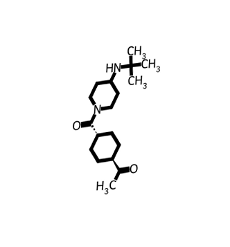 CC(=O)[C@H]1CC[C@H](C(=O)N2CCC(NC(C)(C)C)CC2)CC1